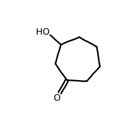 O=C1CCCCC(O)C1